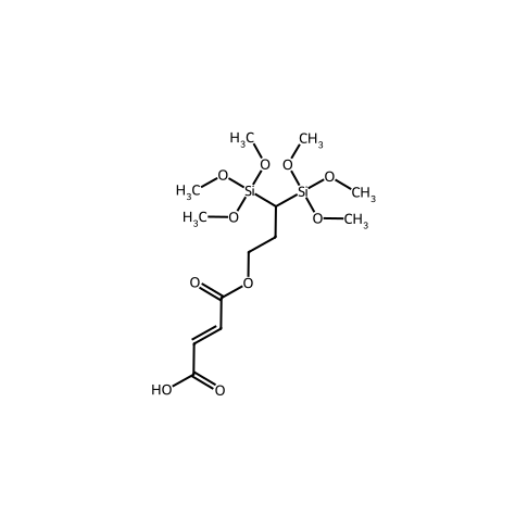 CO[Si](OC)(OC)C(CCOC(=O)/C=C/C(=O)O)[Si](OC)(OC)OC